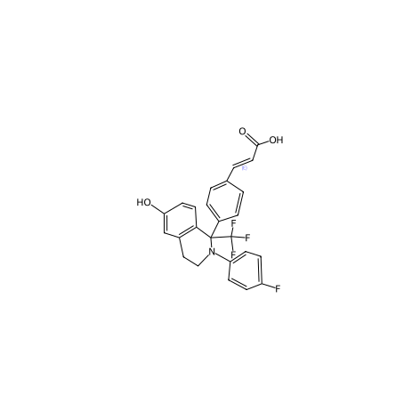 O=C(O)/C=C/c1ccc(C2(C(F)(F)F)c3ccc(O)cc3CCN2c2ccc(F)cc2)cc1